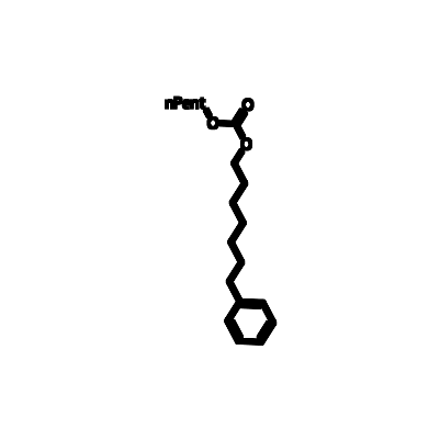 CCCCCOC(=O)OCCCCCCCc1ccccc1